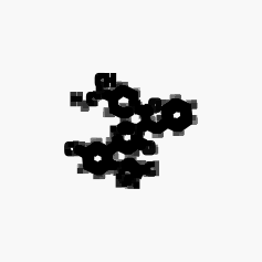 CN(C)C1CCN(C(=O)C(Cc2ccccc2)n2cnc(-c3cc(Cl)ccc3-n3cc(Cl)nn3)cc2=O)CC1